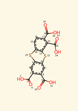 O=C(O)c1cc2c(cc1C(=O)O)Sc1c(ccc(C(=O)O)c1C(=O)O)S2